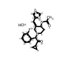 CC(=O)SC1CCN(C(C(=O)C2CC2)c2ccccc2F)C/C1=C/c1cnco1.Cl